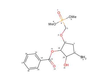 BC1CC(OCP(=O)(OC)OC)C(OC(=O)c2ccccc2)C1O